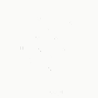 O=C(O)C1CC[C@@H]2CN1C(=O)N2OS(=O)(=O)c1cccs1